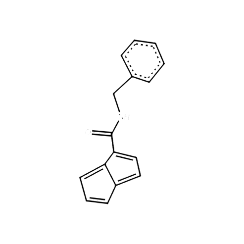 O=C(NCc1ccccc1)C1=CC=C2C=CC=C21